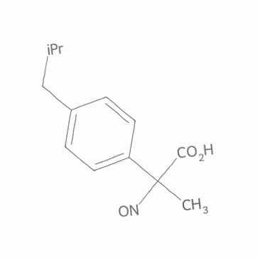 CC(C)Cc1ccc(C(C)(N=O)C(=O)O)cc1